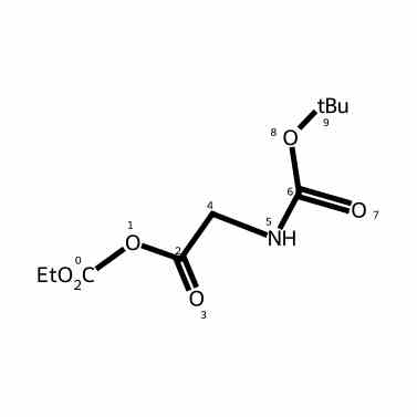 CCOC(=O)OC(=O)CNC(=O)OC(C)(C)C